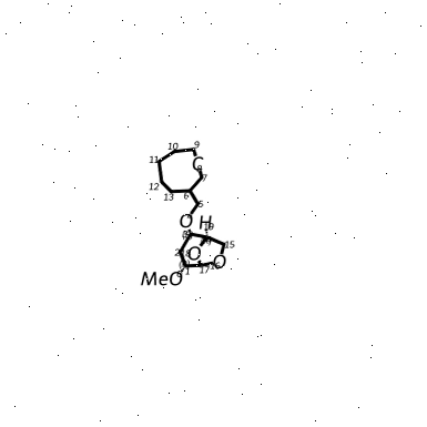 CO[C@@H]1C[C@H](OCC2CCCCCCC2)[C@H]2COC1O2